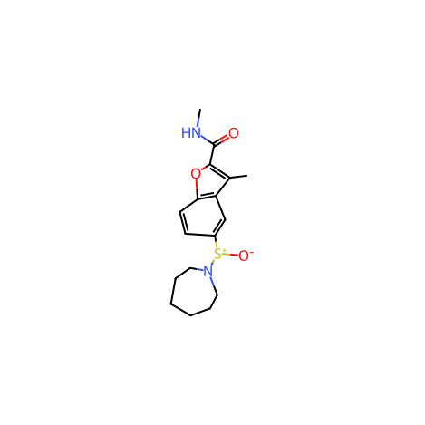 CNC(=O)c1oc2ccc([S+]([O-])N3CCCCCC3)cc2c1C